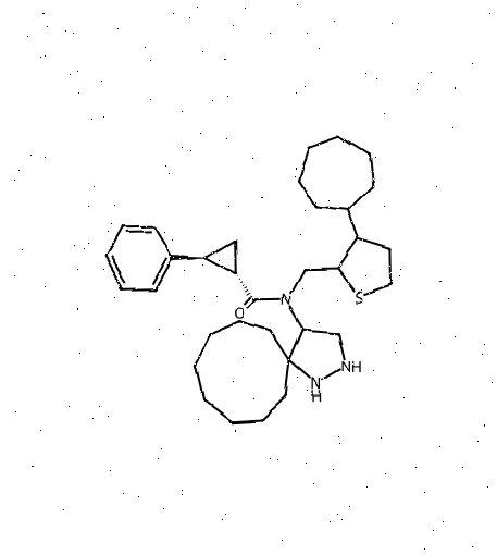 O=C([C@H]1C[C@@H]1c1ccccc1)N(CC1SCCC1C1CCCCCC1)C1CNNC12CCCCCCCC2